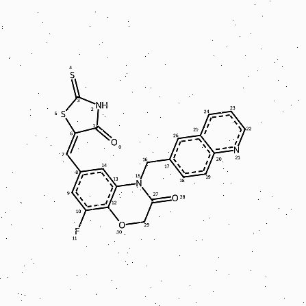 O=C1NC(=S)SC1=Cc1cc(F)c2c(c1)N(Cc1ccc3ncccc3c1)C(=O)CO2